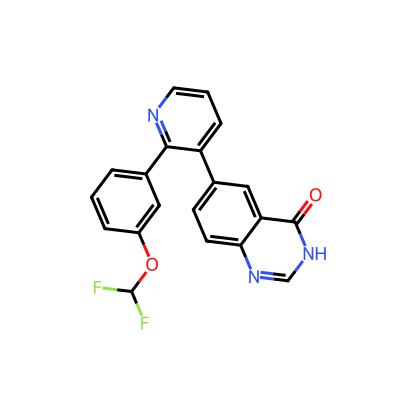 O=c1[nH]cnc2ccc(-c3cccnc3-c3cccc(OC(F)F)c3)cc12